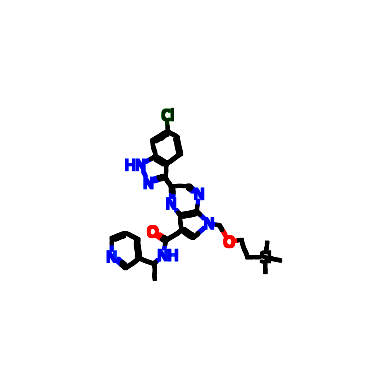 CC(NC(=O)c1cn(COCC[Si](C)(C)C)c2ncc(-c3n[nH]c4cc(Cl)ccc34)nc12)c1cccnc1